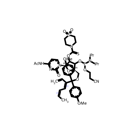 C=C/C(=C\C=C/C)C(OC[C@H]1O[C@@H](n2ccc(NC(C)=O)nc2=O)C(OC(=S)N2CCS(=O)(=O)CC2)C1OP(OCCC#N)N(C(C)C)C(C)C)(c1ccc(OC)cc1)c1ccc(OC)cc1